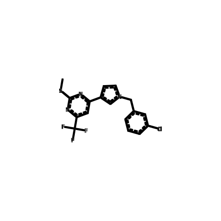 CSc1nc(-c2ccn(Cc3cccc(Cl)c3)c2)cc(C(F)(F)F)n1